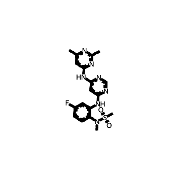 Cc1cc(Nc2cc(Nc3cc(F)ccc3N(C)S(C)(=O)=O)ncn2)nc(C)n1